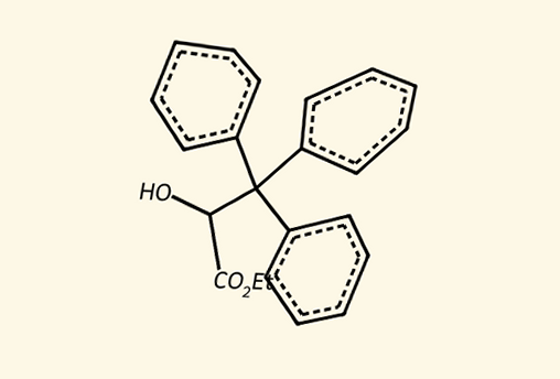 CCOC(=O)C(O)C(c1ccccc1)(c1ccccc1)c1ccccc1